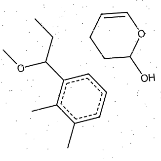 CCC(OC)c1cccc(C)c1C.OC1CCC=CO1